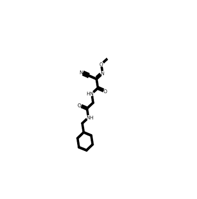 CO/N=C(\C#N)C(=O)NCC(=O)NCC1CCCCC1